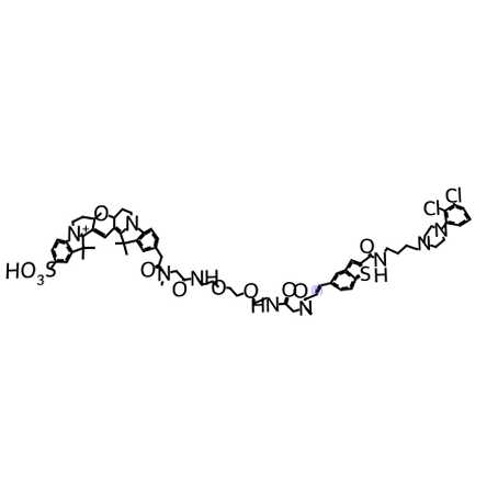 CN(CC(=O)NCCOCCOCCNC(=O)CN(C)C(=O)Cc1ccc2c(c1)C(C)(C)C1=C3C=C4C5=[N+](CCC4OC3CCN12)c1ccc(S(=O)(=O)O)cc1C5(C)C)C(=O)/C=C/c1ccc2sc(C(=O)NCCCCN3CCN(c4cccc(Cl)c4Cl)CC3)cc2c1